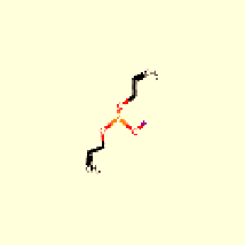 C=CCOP(OI)OCC=C